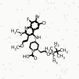 CO/C=C/c1c(SC)nc2c(F)c(Br)c(Cl)cc2c1N[C@H]1CCN(C(=O)O)[C@H](CCO[Si](C)(C)C(C)(C)C)C1